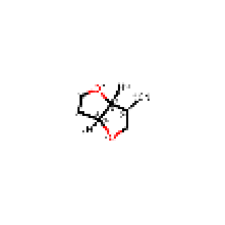 N#C[C@H]1CO[C@@H]2CCO[C@H]12